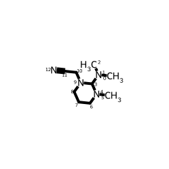 CN(C)C1N(C)CCCN1CC#N